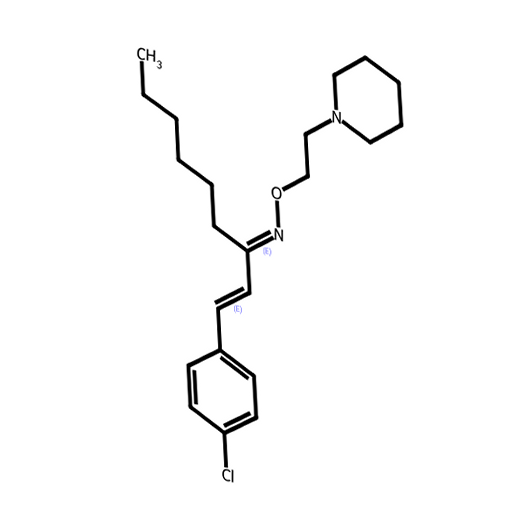 CCCCCCC(/C=C/c1ccc(Cl)cc1)=N\OCCN1CCCCC1